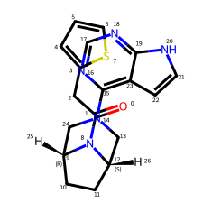 O=C(Cc1cccs1)N1[C@@H]2CC[C@H]1CN(c1ncnc3[nH]ccc13)C2